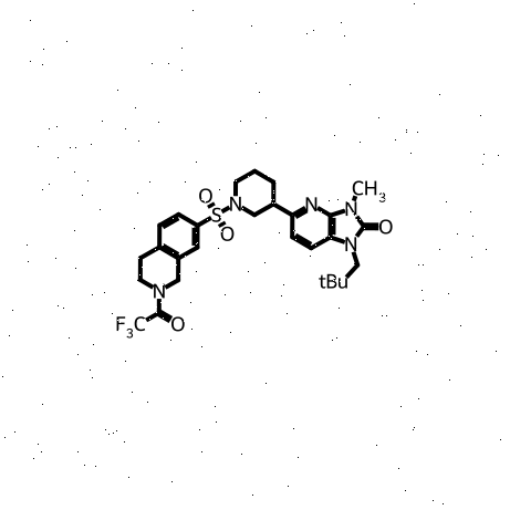 Cn1c(=O)n(CC(C)(C)C)c2ccc(C3CCCN(S(=O)(=O)c4ccc5c(c4)CN(C(=O)C(F)(F)F)CC5)C3)nc21